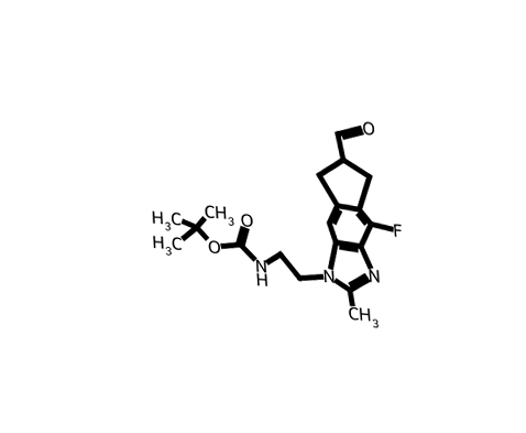 Cc1nc2c(F)c3c(cc2n1CCNC(=O)OC(C)(C)C)CC(C=O)C3